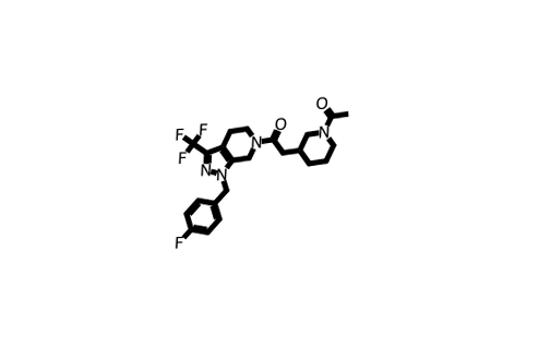 CC(=O)N1CCCC(CC(=O)N2CCc3c(C(F)(F)F)nn(Cc4ccc(F)cc4)c3C2)C1